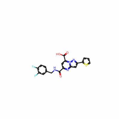 O=C(NCc1ccc(F)c(F)c1)c1cc(C(=O)O)n2nc(-c3cccs3)cc2n1